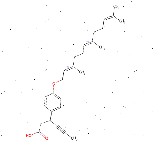 CC#CC(CC(=O)O)c1ccc(OC/C=C(\C)CC/C=C(\C)CCC=C(C)C)cc1